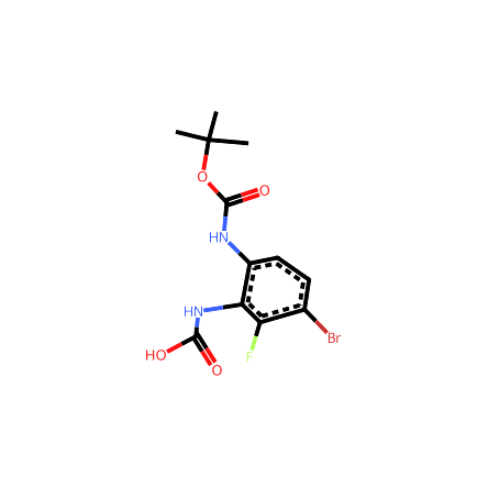 CC(C)(C)OC(=O)Nc1ccc(Br)c(F)c1NC(=O)O